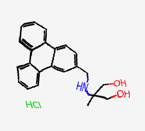 CC(CO)(CO)NCc1ccc2c3ccccc3c3ccccc3c2c1.Cl